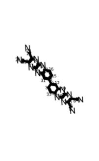 N#Cc1nc2c(nc1C#N)=NC1C=C(c3ccc4nc5nc(C#N)c(C#N)nc5nc4c3)C=CC1N=2